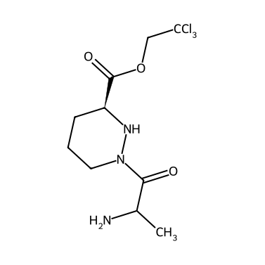 CC(N)C(=O)N1CCC[C@@H](C(=O)OCC(Cl)(Cl)Cl)N1